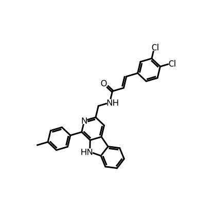 Cc1ccc(-c2nc(CNC(=O)/C=C/c3ccc(Cl)c(Cl)c3)cc3c2[nH]c2ccccc23)cc1